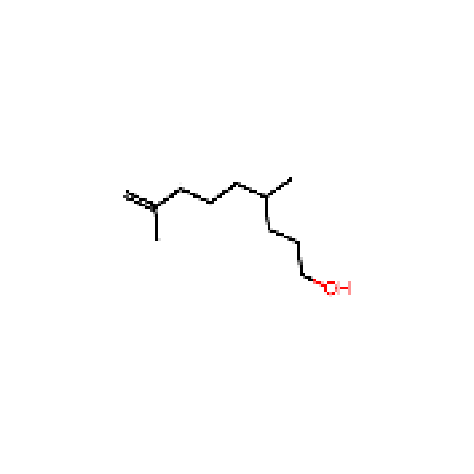 C=C(C)[CH]CCC(C)CCCO